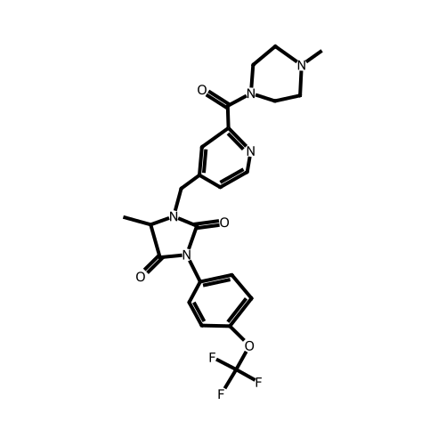 CC1C(=O)N(c2ccc(OC(F)(F)F)cc2)C(=O)N1Cc1ccnc(C(=O)N2CCN(C)CC2)c1